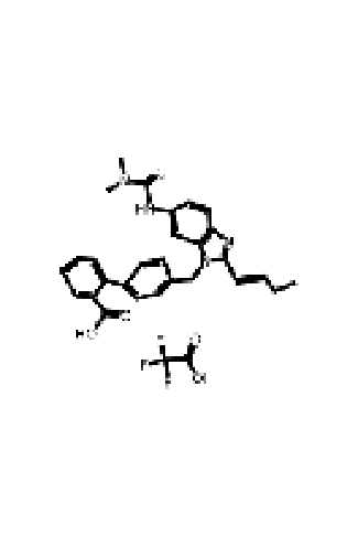 CC/C=C/c1nc2ccc(NC(=O)N(C)C)cc2n1Cc1ccc(-c2ccccc2C(=O)O)cc1.O=C(O)C(F)(F)F